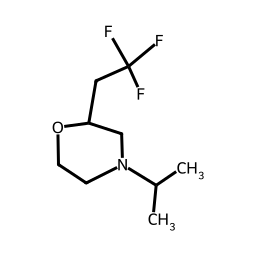 CC(C)N1CCOC(CC(F)(F)F)C1